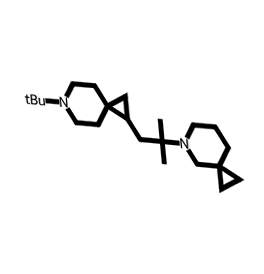 CC(C)(C)N1CCC2(CC1)CC2CC(C)(C)N1CCCC2(CC2)C1